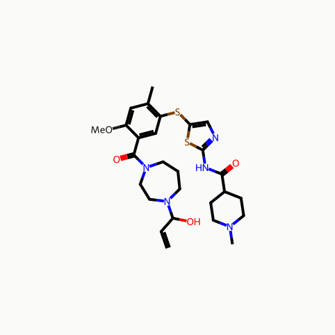 C=CC(O)N1CCCN(C(=O)c2cc(Sc3cnc(NC(=O)C4CCN(C)CC4)s3)c(C)cc2OC)CC1